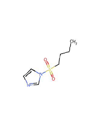 CCCCS(=O)(=O)n1ccnc1